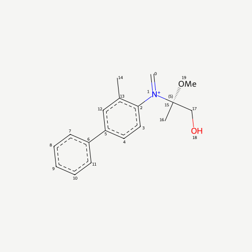 C=[N+](c1ccc(-c2ccccc2)cc1C)[C@](C)(CO)OC